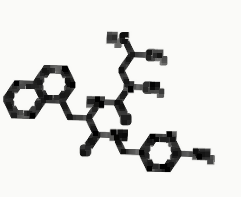 CC(C)CN(C)C(=O)NC(Cc1cccc2ccccc12)C(=O)NCc1ccc(N)nc1